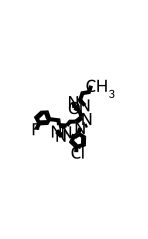 CCCc1noc(-c2ncn3c2Cc2c(Cc4cccc(F)c4)nnn2-c2cc(Cl)ccc2-3)n1